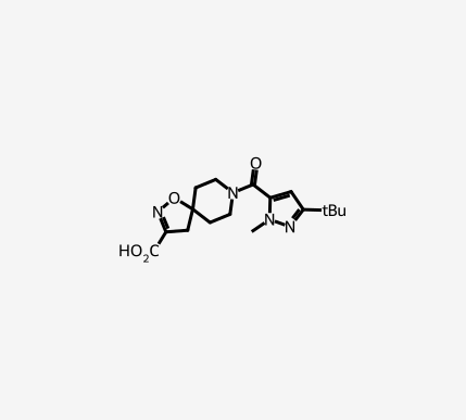 Cn1nc(C(C)(C)C)cc1C(=O)N1CCC2(CC1)CC(C(=O)O)=NO2